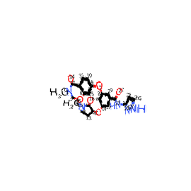 CN1COc2cc(Oc3cc(O[C@H]4CCN(C)C4=O)cc(C(=O)Nc4cc[nH]n4)c3)ccc2C1=O